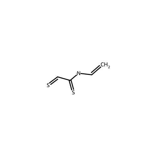 C=C[N]C(=S)C=S